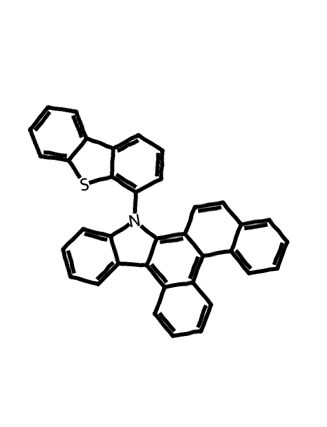 c1ccc2c(c1)ccc1c2c2ccccc2c2c3ccccc3n(-c3cccc4c3sc3ccccc34)c12